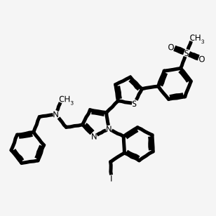 CN(Cc1ccccc1)Cc1cc(-c2ccc(-c3cccc(S(C)(=O)=O)c3)s2)n(-c2ccccc2CI)n1